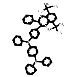 CC(C)(C)c1ccc(C(C)(C)C)c2nc(-c3ccc(N(c4ccccc4)c4ccc(N(c5ccccc5)c5ccccc5)cc4)cc3)c(-c3ccccc3)nc12